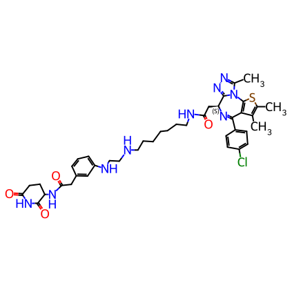 Cc1sc2c(c1C)C(c1ccc(Cl)cc1)=N[C@@H](CC(=O)NCCCCCCCNCCNc1cccc(CC(=O)NC3CCC(=O)NC3=O)c1)c1nnc(C)n1-2